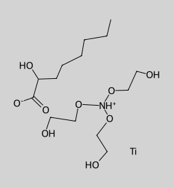 CCCCCCC(O)C(=O)[O-].OCCO[NH+](OCCO)OCCO.[Ti]